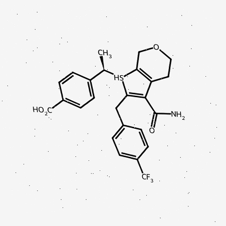 C[C@H](c1ccc(C(=O)O)cc1)[SH]1C2=C(CCOC2)C(C(N)=O)=C1Cc1ccc(C(F)(F)F)cc1